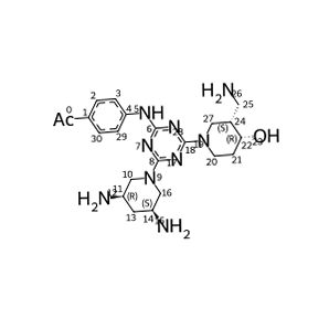 CC(=O)c1ccc(Nc2nc(N3C[C@H](N)C[C@H](N)C3)nc(N3CC[C@@H](O)[C@@H](CN)C3)n2)cc1